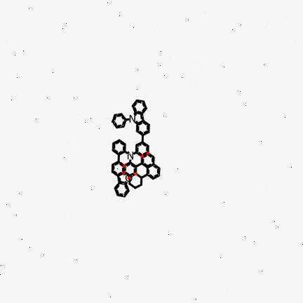 c1ccc(-n2c3ccccc3c3ccc(-c4cccc(N(c5ccccc5-c5ccc6c(c5)oc5ccccc56)c5ccccc5-c5cccc6cccc(C7CCCCC7)c56)c4)cc32)cc1